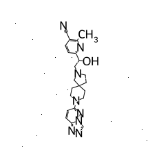 Cc1nc(C(O)CN2CCC3(CCN(c4ccc5nncn5n4)CC3)C2)ccc1C#N